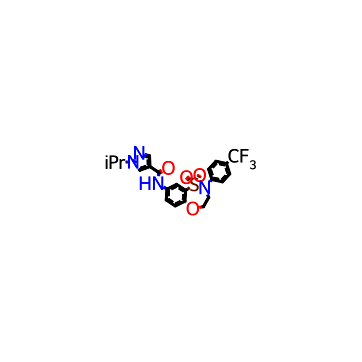 CC(C)n1cc(C(=O)Nc2ccc3c(c2)S(=O)(=O)N(c2ccc(C(F)(F)F)cc2)CCO3)cn1